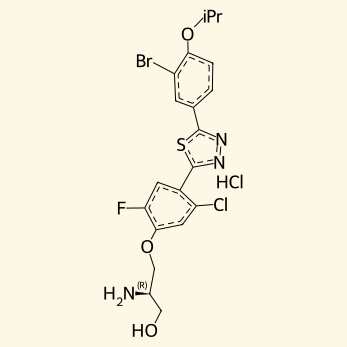 CC(C)Oc1ccc(-c2nnc(-c3cc(F)c(OC[C@H](N)CO)cc3Cl)s2)cc1Br.Cl